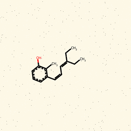 CCC(=C/C=C\c1cccc(O)c1C)CC